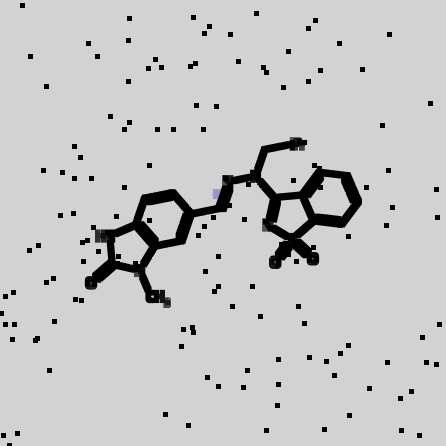 CC(C)CN(/N=C/c1ccc2[nH]c(=O)n(C)c2c1)C1=NS(=O)(=O)c2ccccc21